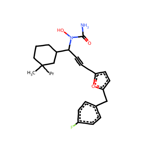 CC(C)C1(C)CCCC(C(C#Cc2ccc(Cc3ccc(F)cc3)o2)N(O)C(N)=O)C1